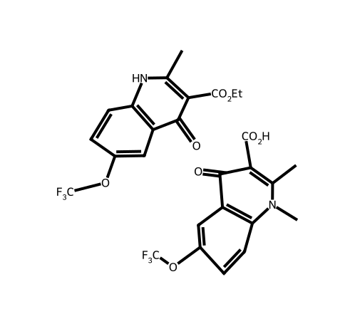 CCOC(=O)c1c(C)[nH]c2ccc(OC(F)(F)F)cc2c1=O.Cc1c(C(=O)O)c(=O)c2cc(OC(F)(F)F)ccc2n1C